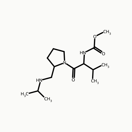 COC(=O)NC(C(=O)N1CCCC1CNC(C)C)C(C)C